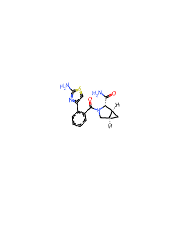 NC(=O)[C@@H]1[C@H]2C[C@H]2CN1C(=O)c1ccccc1-c1csc(N)n1